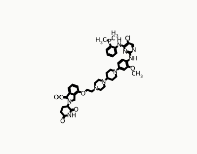 COc1cc(N2CCC(N3CCN(CCOc4cccc5c4CN(C4CCC(=O)NC4=O)C5=C=O)CC3)CC2)ccc1Nc1ncc(Cl)c(Nc2ccccc2P(C)C)n1